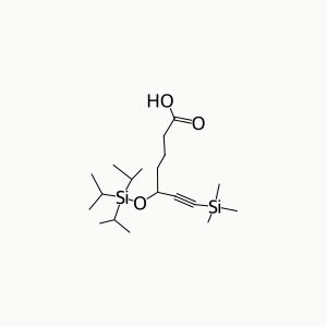 CC(C)[Si](OC(C#C[Si](C)(C)C)CCCC(=O)O)(C(C)C)C(C)C